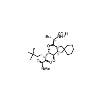 CNC(=O)C(=O)[C@H](CCC(C)(F)F)NC(=O)[C@@H]1CC2(CCCCC2)CN1C(=O)[C@@H](NC(=O)O)C(C)(C)C